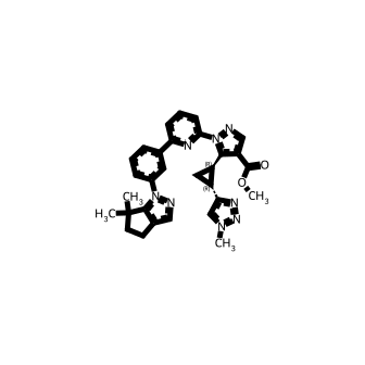 COC(=O)c1cnn(-c2cccc(-c3cccc(-n4ncc5c4C(C)(C)CC5)c3)n2)c1[C@@H]1C[C@H]1c1cn(C)nn1